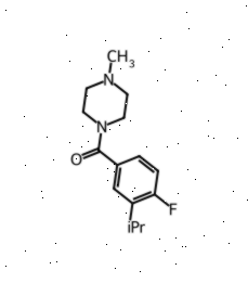 CC(C)c1cc(C(=O)N2CCN(C)CC2)ccc1F